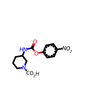 O=C(NC1CCCN(C(=O)O)C1)Oc1ccc([N+](=O)[O-])cc1